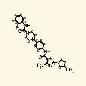 CC1CCN(c2nc(C(F)(F)F)c(C(=O)Nc3ccc(N4CCN(C(=O)Nc5ccccc5F)CC4)nc3)o2)C1